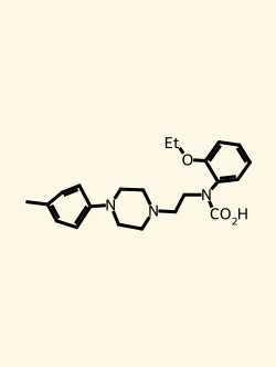 CCOc1ccccc1N(CCN1CCN(c2ccc(C)cc2)CC1)C(=O)O